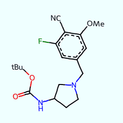 COc1cc(CN2CCC(NC(=O)OC(C)(C)C)C2)cc(F)c1C#N